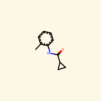 Cc1ccccc1NC(=O)C1CC1